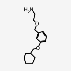 NCCOCc1cccc(OCC2CCCCC2)c1